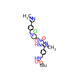 Cn1cc(-c2ccc(CN3CCC(O)(Cn4cnc5c(-c6ccc(CNC(=O)OC(C)(C)C)cc6)n(C)nc5c4=O)CC3)c(Cl)c2)cn1